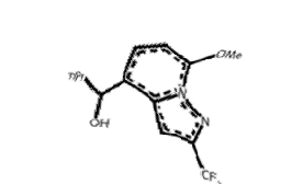 CCCC(O)c1ccc(OC)n2nc(C(F)(F)F)cc12